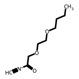 C#[N+]C(=O)COCCOCCCC